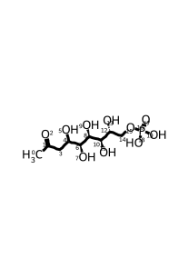 CC(=O)CC(O)[C@H](O)[C@@H](O)[C@H](O)[C@H](O)COP(=O)(O)O